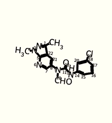 Cc1nn(C)c2ncc(N(C=O)C(=O)Nc3cccc(Cl)c3)cc12